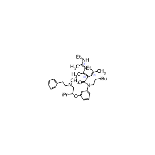 CCN/C(C)=N/C(C)=C(\C=C(\C)CC)C(=O)N(CCC(C)CC)c1cccc(OC(CN(C)CCc2ccccc2)C(C)C)c1